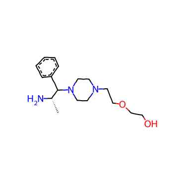 C[C@H](N)C(c1ccccc1)N1CCN(CCOCCO)CC1